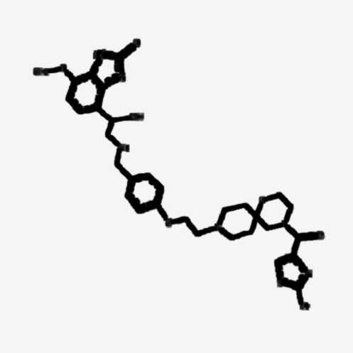 CC(C)c1nc(C(=O)N2CCOC3(CCN(CCOc4ccc(CNCC(O)c5ccc(OC=O)c6[nH]c(=O)sc56)cc4)CC3)C2)cs1